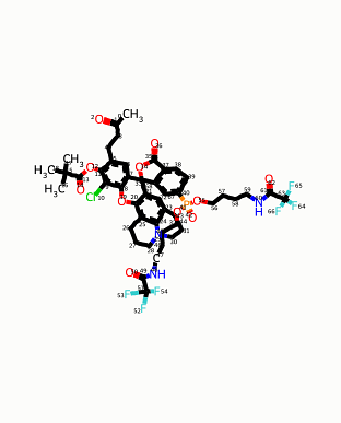 CC(=O)CCc1cc2c(c(Cl)c1OC(=O)C(C)(C)C)Oc1c(cc3c4c1CCCN4CCC3)C21OC(=O)c2ccc(P(=O)(OCCCCNC(=O)C(F)(F)F)OCCCCNC(=O)C(F)(F)F)cc21